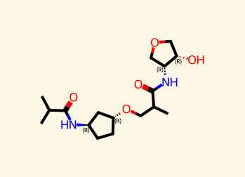 CC(C)C(=O)N[C@@H]1CC[C@@H](OCC(C)C(=O)N[C@@H]2COC[C@@H]2O)C1